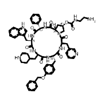 NCCNC(=O)O[C@@H]1C[C@H]2C(=O)N[C@@H](c3ccccc3)C(=O)N[C@H](Cc3c[nH]c4ccccc34)C(=O)NC(CC3CCNCC3)C(=O)N[C@@H](Cc3ccc(OCc4ccccc4)cc3)C(=O)NC(Cc3cccnc3)C(=O)N2C1